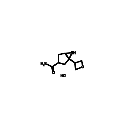 Cl.NC(=O)C1CC2NC2(C2COC2)C1